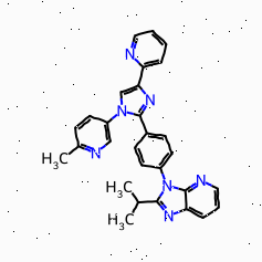 Cc1ccc(-n2cc(-c3ccccn3)nc2-c2ccc(-n3c(C(C)C)nc4cccnc43)cc2)cn1